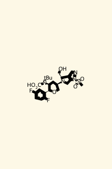 CC(C)(C)N(C(=O)O)[C@H]1C[C@@H](N2Cc3c(cnn3S(C)(=O)=O)[C@H]2CO)CO[C@@H]1c1cc(F)ccc1F